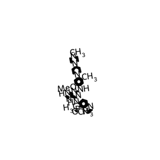 COc1cc(N2CCC(N3CCN(C)CC3)CC2)c(C)cc1Nc1nc(Nc2ccc3nccnc3c2P(C)(C)=O)c2nc[nH]c2n1